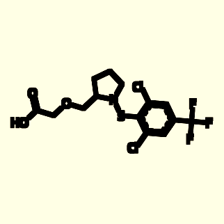 O=C(O)COCC1CCCN1Sc1c(Cl)cc(C(F)(F)F)cc1Cl